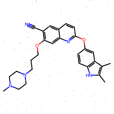 Cc1[nH]c2ccc(Oc3ccc4cc(C#N)c(OCCCN5CCN(C)CC5)cc4n3)cc2c1C